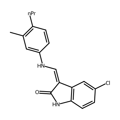 CCCc1ccc(NC=C2C(=O)Nc3ccc(Cl)cc32)cc1C